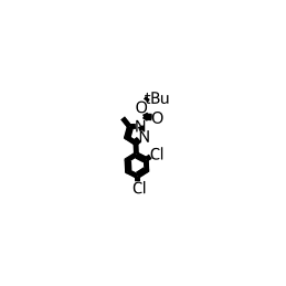 Cc1cc(-c2ccc(Cl)cc2Cl)nn1C(=O)OC(C)(C)C